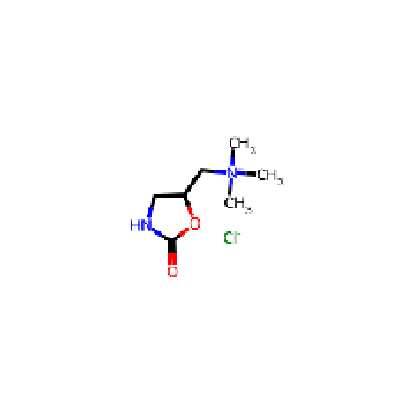 C[N+](C)(C)CC1CNC(=O)O1.[Cl-]